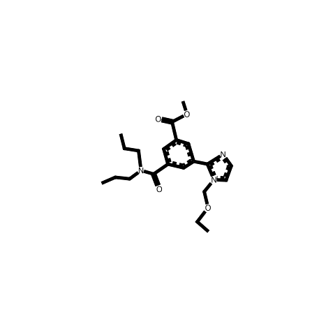 CCCN(CCC)C(=O)c1cc(C(=O)OC)cc(-c2nccn2COCC)c1